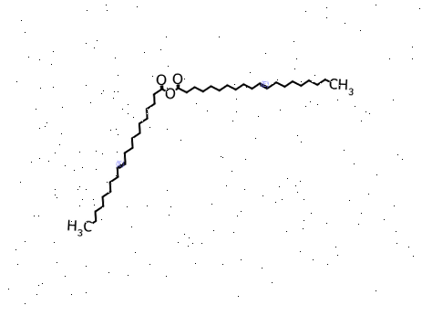 CCCCCCCC/C=C/CCCCCCCCCC(=O)OC(=O)CCCCCCCCC/C=C/CCCCCCCC